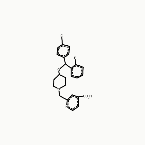 O=C(O)c1ccnc(CN2CCC(OC(c3ccc(Cl)cc3)c3ccccc3F)CC2)c1